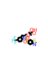 CC(C)(OCc1cc2cc(C(F)(F)F)ccc2n1S(=O)(=O)c1ccc2ncsc2c1)C(=O)O